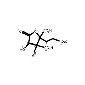 CCCCCCCCCCCCC1(C(=O)O)OC(=O)C(O)C1(O)C(=O)O